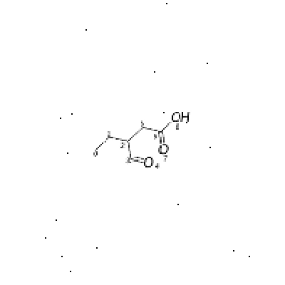 CCC([C]=O)CC(=O)O